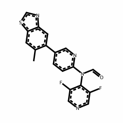 Cc1cc2scnc2cc1-c1ccc(N(C=O)c2c(F)cncc2F)nc1